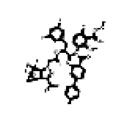 CNc1c(-n2c(C(Cc3cc(F)cc(F)c3)NC(=O)Cn3nc(C(F)F)c4c3C(F)(F)[C@@H]3CC43)nc3cc(-c4ccc(F)cc4)ccc3c2=O)ccc(Cl)c1C(=N)NSC